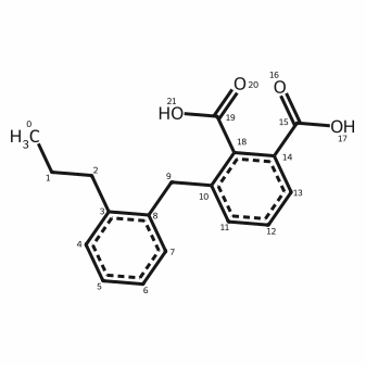 CCCc1ccccc1Cc1cccc(C(=O)O)c1C(=O)O